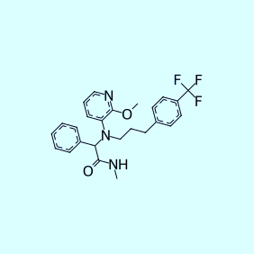 CNC(=O)C(c1ccccc1)N(CCCc1ccc(C(F)(F)F)cc1)c1cccnc1OC